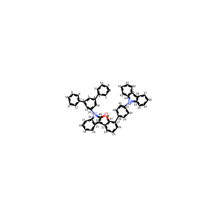 c1ccc(-c2cc(-c3ccccc3)cc(-n3c4ccccc4c4c5cccc(-c6ccc(-n7c8ccccc8c8ccccc87)cc6)c5oc43)c2)cc1